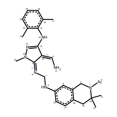 CC(=O)N1Cc2cc(NC/N=C3\C(=C/N)C(Nc4c(C)cccc4C)=NN3C)ccc2CC1(C)C